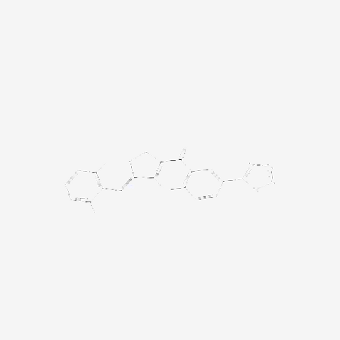 O=c1c2c(oc3ccc(-c4nnn[nH]4)cc13)/C(=C/c1c(Cl)cccc1Cl)CC2